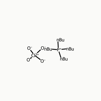 CCCC[P+](CCCC)(CCCC)CCCC.[O-][Cl+3]([O-])([O-])[O-]